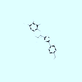 Cc1c(N[C@@H](c2nnc(-c3ccc(CO)cc3)o2)[C@H](C)O)ccc(C#N)c1Cl